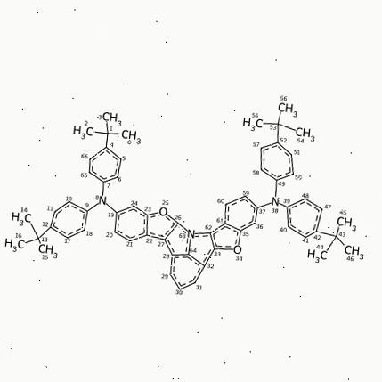 CC(C)(C)c1ccc(N(c2ccc(C(C)(C)C)cc2)c2ccc3c(c2)oc2c3c3cccc4c5oc6cc(N(c7ccc(C(C)(C)C)cc7)c7ccc(C(C)(C)C)cc7)ccc6c5n2c43)cc1